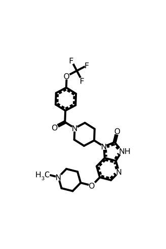 CN1CCC(Oc2cnc3[nH]c(=O)n(C4CCN(C(=O)c5ccc(OC(F)(F)F)cc5)CC4)c3c2)CC1